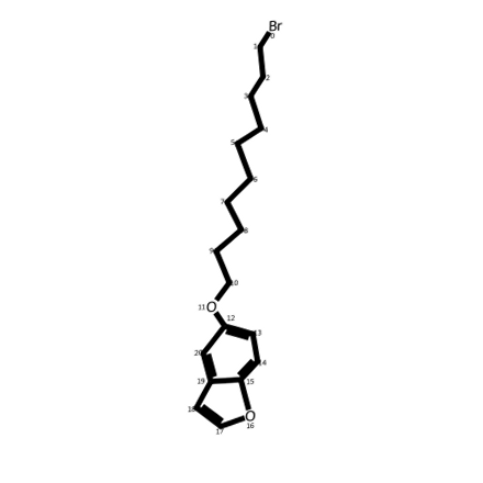 BrCCCCCCCCCCOc1ccc2occc2c1